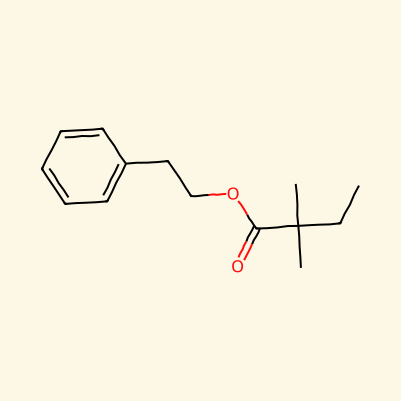 CCC(C)(C)C(=O)OCCc1ccccc1